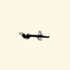 CCCCCCCCCCNC(=O)NNC(=O)CCCCCCCCCCOc1ccc(Oc2ccc(O)cc2)cc1